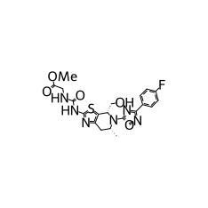 COC(=O)CNC(=O)Nc1nc2c(s1)[C@H](CO)N(c1nc(-c3ccc(F)cc3)no1)[C@H](C)C2